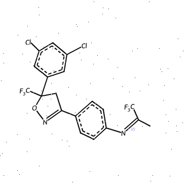 C/C(=N/c1ccc(C2=NOC(c3cc(Cl)cc(Cl)c3)(C(F)(F)F)C2)cc1)C(F)(F)F